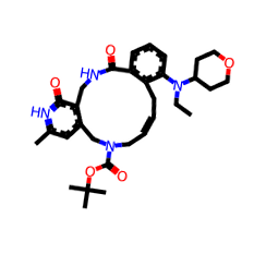 CCN(c1cccc2c1C/C=C\CN(C(=O)OC(C)(C)C)Cc1cc(C)[nH]c(=O)c1CNC2=O)C1CCOCC1